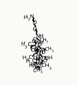 CC[C@H](C)C(NC(=O)[C@H](CC(C)=O)NC(=O)[C@H](CC(C)C)NC(=O)[C@H](CO)NC(=O)[C@H](C)NC(=O)[C@H](C)NC(C)=O)C(=O)N[C@@H](C)C(=O)NCCOCCOCCN